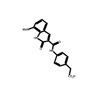 CNc1cccc2cc(C(=O)Nc3ccc(CC(=O)O)cc3)c(=O)[nH]c12